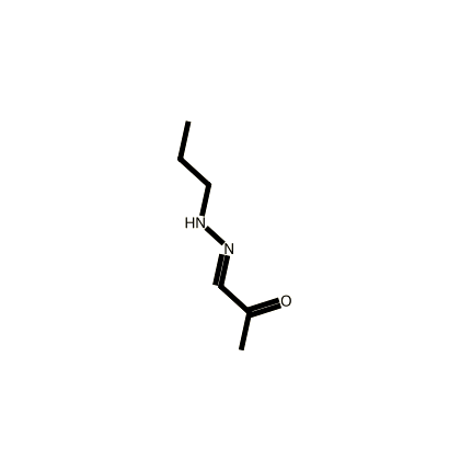 CCCN/N=C/C(C)=O